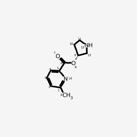 Cc1cccc(C(=O)O[C@@H]2CCNC2)n1